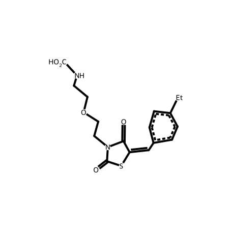 CCc1ccc(C=C2SC(=O)N(CCOCCNC(=O)O)C2=O)cc1